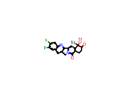 CCC1(O)C(=O)CCc2c1cc1n(c2=O)Cc2cc3cc(F)c(F)cc3nc2-1